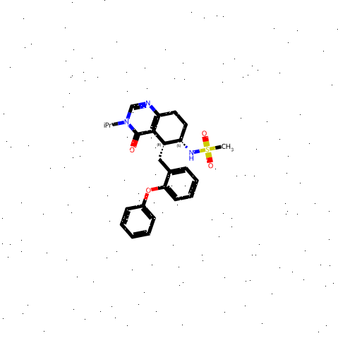 CC(C)n1cnc2c(c1=O)[C@@H](Cc1ccccc1Oc1ccccc1)[C@@H](NS(C)(=O)=O)CC2